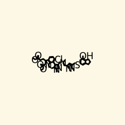 COC(=O)CCc1c(C(=O)OC)n(C)c2c(-c3c(CN(C)Cc4cc(CSc5cc(O)c6c(c5)CCC6)n(C)n4)nn(C)c3C)c(Cl)ccc12